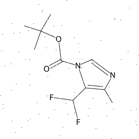 Cc1ncn(C(=O)OC(C)(C)C)c1C(F)F